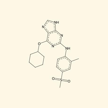 Cc1cc(S(C)(=O)=O)ccc1Nc1nc(OC2CCCCC2)c2nc[nH]c2n1